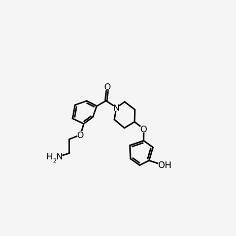 NCCOc1cccc(C(=O)N2CCC(Oc3cccc(O)c3)CC2)c1